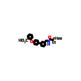 CCCCCCC(CC)C(=O)NCc1cccc(-c2ccc(Oc3ccccc3C(=O)O)cc2)c1